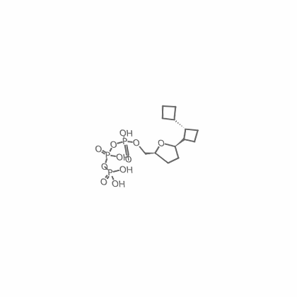 O=P(O)(O)OP(=O)(O)OP(=O)(O)OC[C@@H]1CC[C@H](C2CC[C@H]2C2CCC2)O1